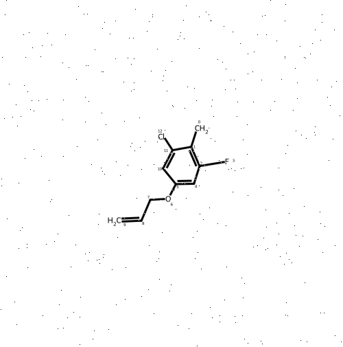 [CH2]c1c(F)cc(OCC=C)cc1Cl